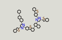 c1ccc(-c2ccc3cc(-c4cc(-c5cc6ccccc6s5)nc(-c5ccc6c(c5)sc5c(-c7ccc(-c8cc(-c9cc%10ccccc%10s9)nc(-c9ccc%10c(c9)sc9ccccc9%10)n8)c8ccccc78)cccc56)n4)ccc3c2)cc1